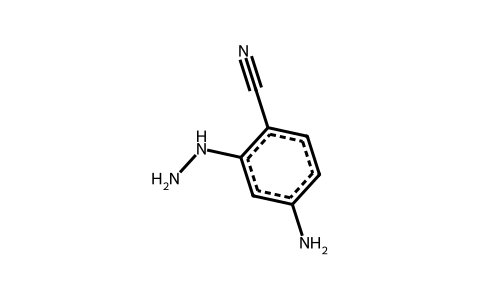 N#Cc1ccc(N)cc1NN